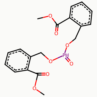 COC(=O)c1ccccc1CO[PH](=O)OCc1ccccc1C(=O)OC